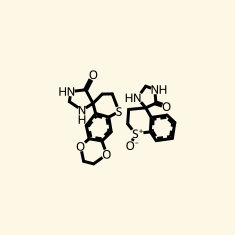 O=C1NCNC12CCSc1cc3c(cc12)OCCO3.O=C1NCNC12CC[S+]([O-])c1ccccc12